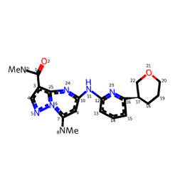 CNC(=O)c1cnn2c(NC)cc(Nc3cccc([C@@H]4CCCOC4)n3)nc12